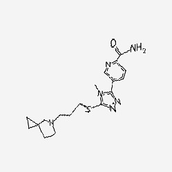 Cn1c(SCCCN2CCC3(CC3)C2)nnc1-c1ccc(C(N)=O)nc1